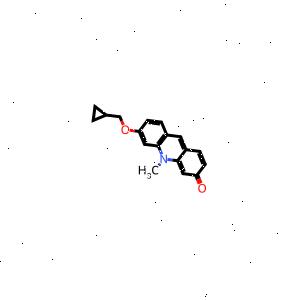 Cn1c2cc(=O)ccc-2cc2ccc(OCC3CC3)cc21